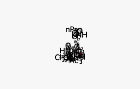 CCCS(=O)(=O)NC(=O)CCCOc1ccc(Cl)cc1[C@@H]1CC(=O)N[C@H](c2cc(Cl)ccc2C)[C@@]12C(=O)N(C(C)=O)c1cc(Cl)ccc12